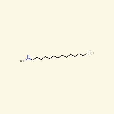 CCCCNCCCCCCCCCCCCCC(=O)O